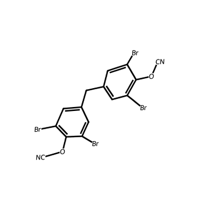 N#COc1c(Br)cc(Cc2cc(Br)c(OC#N)c(Br)c2)cc1Br